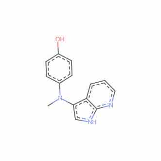 CN(c1ccc(O)cc1)c1c[nH]c2ncccc12